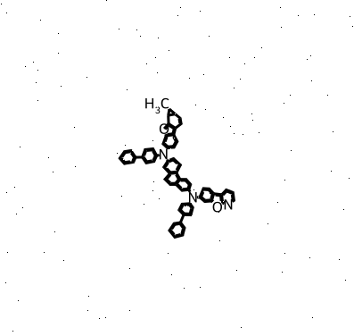 CC1C2C=Cc3c(oc4cc(N(c5ccc(-c6ccccc6)cc5)c5ccc6c(ccc7cc(N(c8ccc(-c9ccccc9)cc8)c8ccc9c(c8)oc8ncccc89)ccc76)c5)ccc34)C12